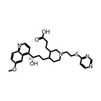 COc1ccc2nccc([C@@H](O)CCC3CCN(CCSc4ccncn4)CC3CCC(=O)O)c2c1